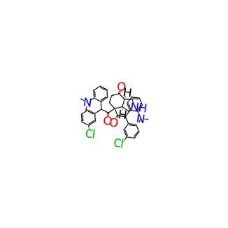 CN(C)c1ccccc1C(C(=O)C1(C(=O)C(c2cccc(Cl)c2)c2ccccc2N(C)C)CCC(=O)[C@H]2CNC[C@H]21)c1cccc(Cl)c1